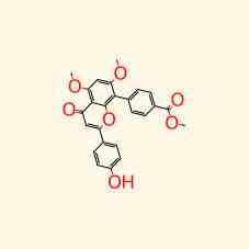 COC(=O)c1ccc(-c2c(OC)cc(OC)c3c(=O)cc(-c4ccc(O)cc4)oc23)cc1